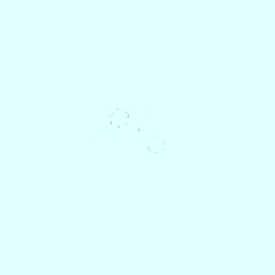 COc1ccc(/C=C(\C)c2cc3c(cc2C)CCCC3(C)C)cc1